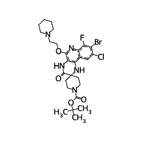 CC(C)(C)OC(=O)N1CCC2(CC1)Nc1c(c(OCCN3CCCCC3)nc3c(F)c(Br)c(Cl)cc13)NC2=O